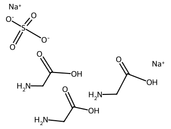 NCC(=O)O.NCC(=O)O.NCC(=O)O.O=S(=O)([O-])[O-].[Na+].[Na+]